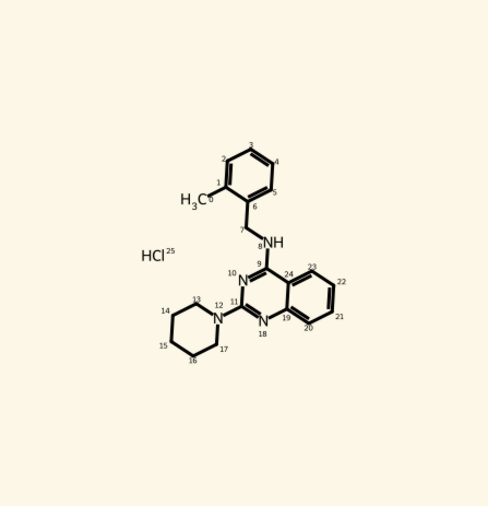 Cc1ccccc1CNc1nc(N2CCCCC2)nc2ccccc12.Cl